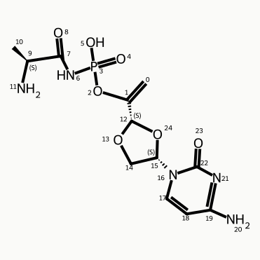 C=C(OP(=O)(O)NC(=O)[C@H](C)N)[C@H]1OC[C@@H](n2ccc(N)nc2=O)O1